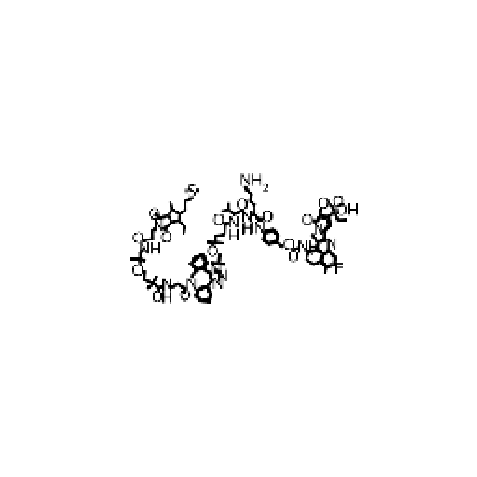 CCC1C(CCCS(C)(C)C)C(C)C2C(=O)N(CCC(=O)NCC(C)(C)OCCC(C)(C)C(=O)NCCC(=O)N3Cc4ccccc4-c4c(nnn4C(C)(C)COC(C)(C)CCC(=O)NC(C(=O)N[C@@H](CCCCN)C(=O)Nc4ccc(COC(=O)N[C@H]5CCc6c(C)c(F)cc7nc8c(c5c67)Cn5c-8cc6c(c5=O)COC(=O)[C@]6(O)CC)cc4)C(C)C)-c4ccccc43)C(=O)C12